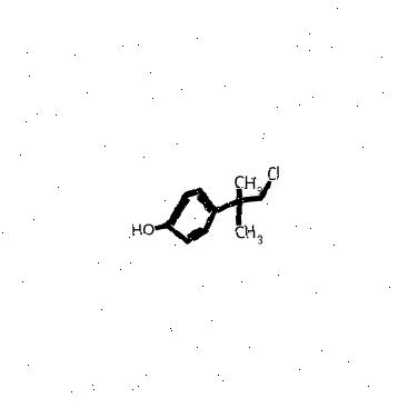 CC(C)(CCl)c1ccc(O)cc1